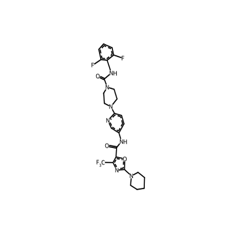 O=C(Nc1ccc(N2CCN(C(=O)Nc3c(F)cccc3F)CC2)nc1)c1oc(N2CCCCC2)nc1C(F)(F)F